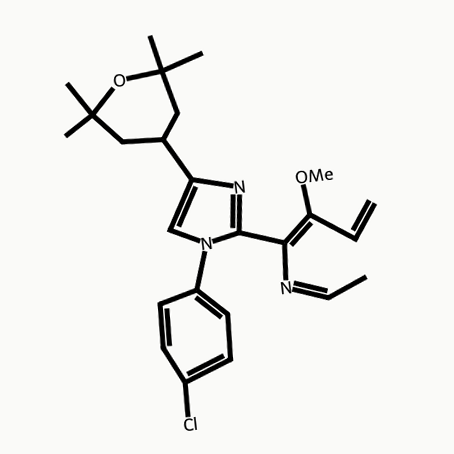 C=C/C(OC)=C(\N=C/C)c1nc(C2CC(C)(C)OC(C)(C)C2)cn1-c1ccc(Cl)cc1